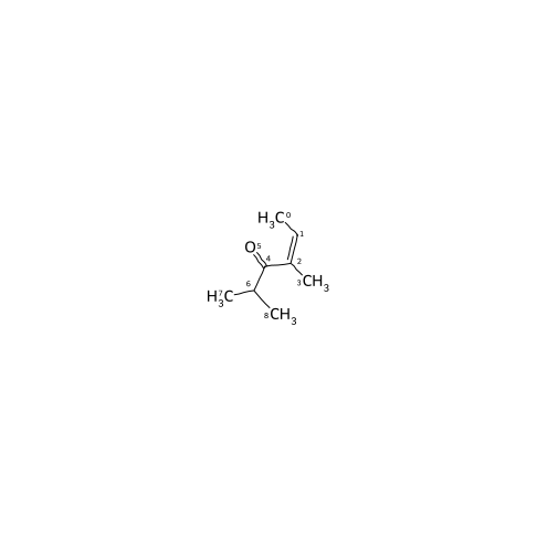 CC=C(C)C(=O)C(C)C